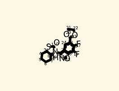 O=C1SC2CCCC[C@@H]2N1c1noc2c(F)c(F)c(C3OCCO3)cc12